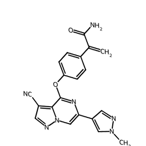 C=C(C(N)=O)c1ccc(Oc2nc(-c3cnn(C)c3)cn3ncc(C#N)c23)cc1